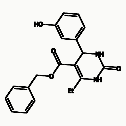 CCC1=C(C(=O)OCc2ccccc2)C(c2cccc(O)c2)NC(=O)N1